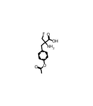 CC(=O)Oc1ccc(CC(N)(CF)C(=O)O)cc1